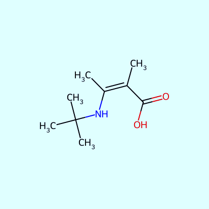 C/C(NC(C)(C)C)=C(\C)C(=O)O